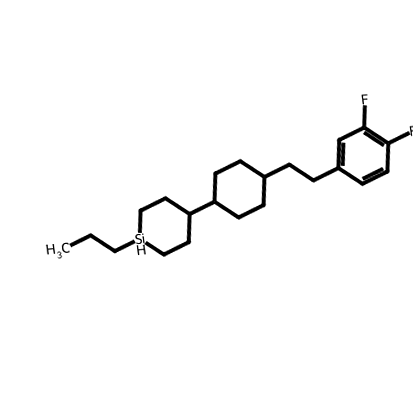 CCC[SiH]1CCC(C2CCC(CCc3ccc(F)c(F)c3)CC2)CC1